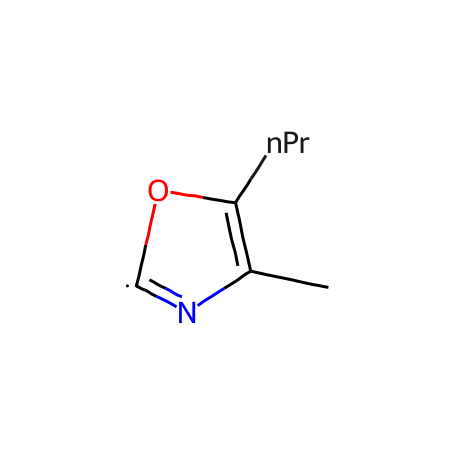 CCCc1o[c]nc1C